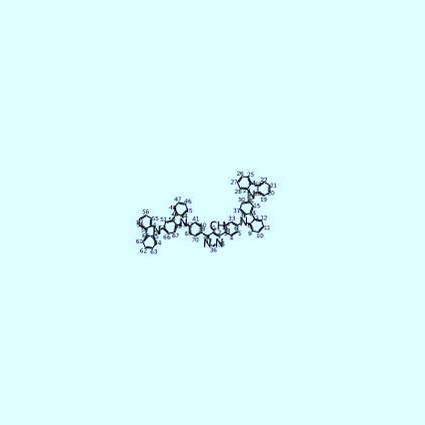 Cc1c(-c2ccc(-n3c4ccccc4c4cc(-n5c6ccccc6c6ccccc65)ccc43)cc2)ncnc1-c1ccc(-n2c3ccccc3c3cc(-n4c5ccccc5c5ccccc54)ccc32)cc1